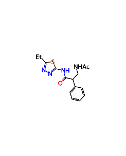 CCc1nnc(NC(=O)C(CNC(C)=O)c2ccccc2)s1